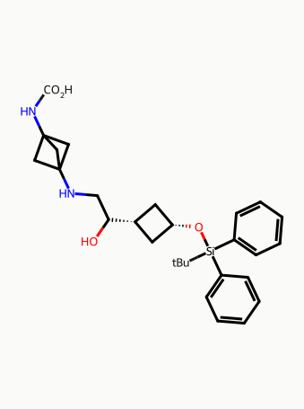 CC(C)(C)[Si](O[C@H]1C[C@@H](C(O)CNC23CC(NC(=O)O)(C2)C3)C1)(c1ccccc1)c1ccccc1